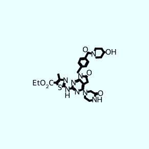 CCOC(=O)c1sc(Nc2nc(N3CCNC(=O)C3)c3c(n2)N(Cc2ccc(C(=O)N4CCC(O)CC4)cc2)C(=O)C3)nc1C